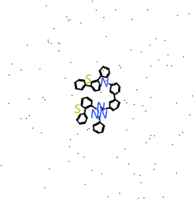 c1ccc(-c2nc(-c3cccc(-c4cccc(-n5c6ccccc6c6c7sc8ccccc8c7ccc65)c4)c3)nc(-c3cccc4sc5ccccc5c34)n2)cc1